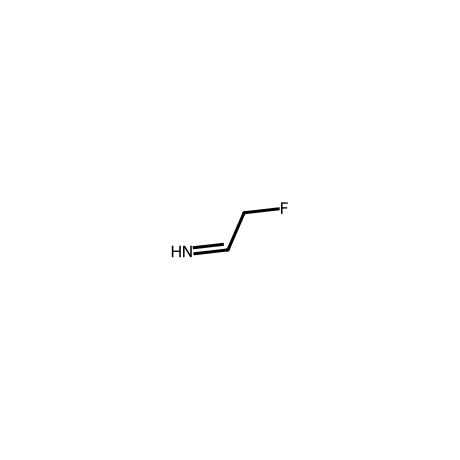 N=CCF